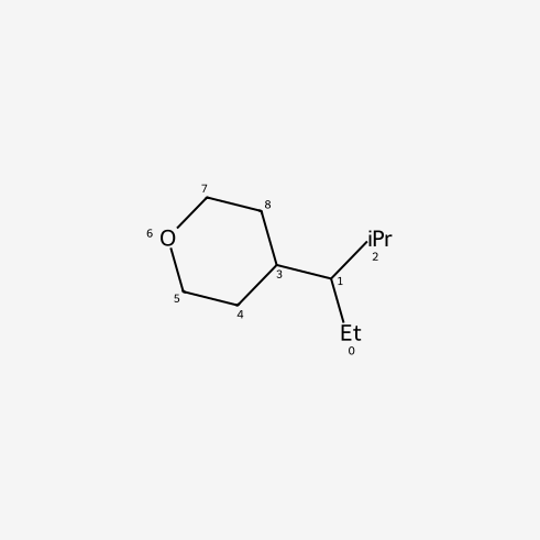 CCC(C(C)C)C1CCOCC1